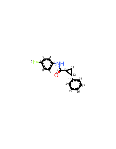 O=C(Nc1ccc(F)cc1)[C@H]1C[C@@H]1c1ccccc1